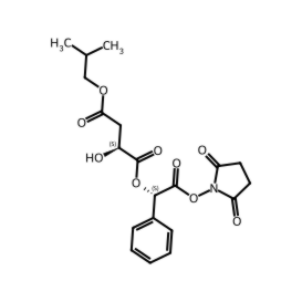 CC(C)COC(=O)C[C@H](O)C(=O)O[C@H](C(=O)ON1C(=O)CCC1=O)c1ccccc1